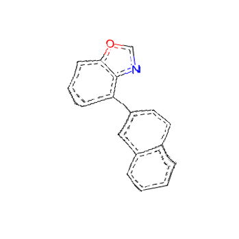 c1ccc2cc(-c3cccc4ocnc34)ccc2c1